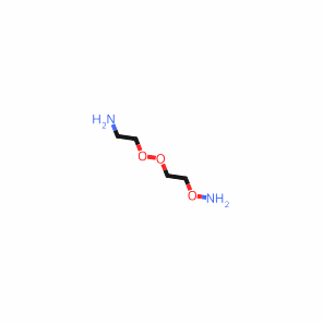 NCCOOCCON